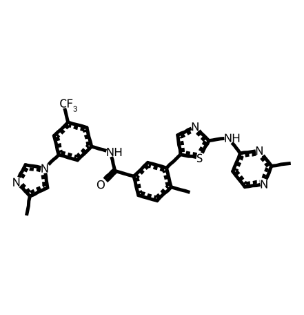 Cc1cn(-c2cc(NC(=O)c3ccc(C)c(-c4cnc(Nc5ccnc(C)n5)s4)c3)cc(C(F)(F)F)c2)cn1